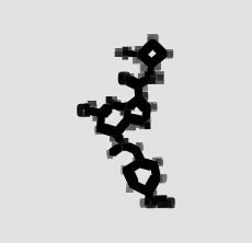 COc1ccc(CN(C)c2cc(Cl)nn3c(C(=O)N[C@@H]4CC[C@H]4F)cnc23)cc1